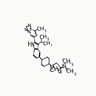 Cc1cc(-c2[nH]c3ccc(C4CCC(N(C)CC(=O)N(C)C)CC4)cc3c2C(C)C)cn2ncnc12